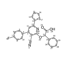 N#Cc1c(-c2ccc(F)cc2)cc(-c2cccs2)nc1OC(C(=O)O)c1ccccc1